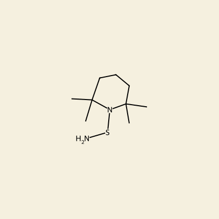 CC1(C)CCCC(C)(C)N1SN